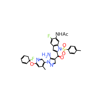 CC(=O)Nc1cc2c(cc1F)cc(C(=O)c1cnn(-c3cnc(OC4(F)C=CC=CC4)cc3C)c1N)n2S(=O)(=O)c1ccc(C)cc1